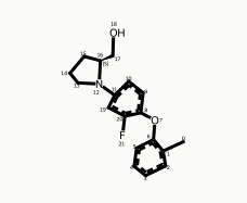 Cc1ccccc1Oc1ccc(N2CCC[C@H]2CO)cc1F